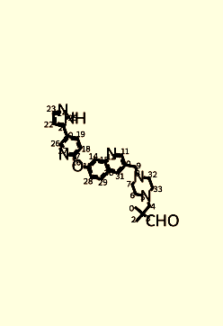 CC(C)(C=O)CN1CCN(Cc2cnc3cc(Oc4ccc(-c5ccn[nH]5)cn4)ccc3c2)CC1